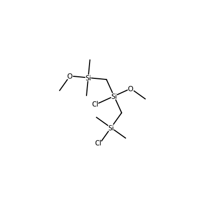 CO[Si](C)(C)C[Si](Cl)(C[Si](C)(C)Cl)OC